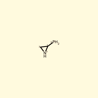 PC1CN1